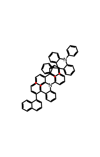 c1ccc(-c2ccccc2N(c2ccccc2-c2ccccc2-c2cccc3ccccc23)c2cccc3c2-c2ccccc2C32c3ccccc3N(c3ccccc3)c3ccccc32)cc1